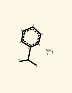 CC(I)c1ccccc1.N